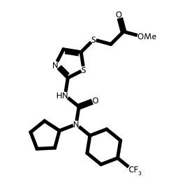 COC(=O)CSc1cnc(NC(=O)N(C2CCCC2)C2CCC(C(F)(F)F)CC2)s1